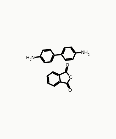 Nc1ccc(-c2ccc(N)cc2)cc1.O=C1OC(=O)c2ccccc21